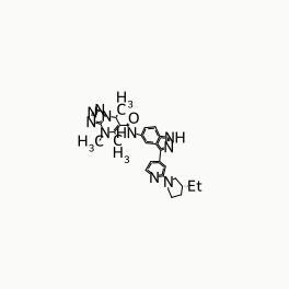 CC[C@@H]1CCCN(c2cc(-c3n[nH]c4ccc(NC(=O)C5=C(C)N(C)c6nnnn6[C@H]5C)cc34)ccn2)C1